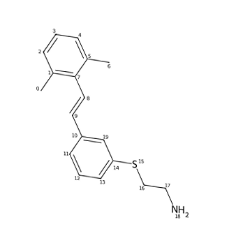 Cc1cccc(C)c1C=Cc1cccc(SCCN)c1